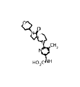 Cc1cc(NC(=O)O)cnc1N1CCC[C@@]2(CCN(C3CCOCC3)C2=O)C1